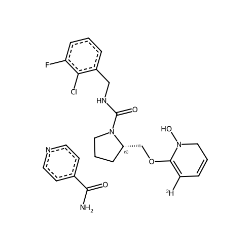 NC(=O)c1ccncc1.[2H]C1=C(OC[C@@H]2CCCN2C(=O)NCc2cccc(F)c2Cl)N(O)CC=C1